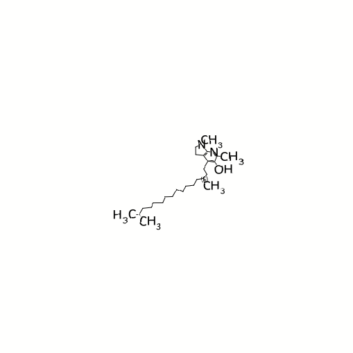 Cc1nc2c(c(CC[C@@H](C)CCCCCCCCCCCC(C)C)c1O)CCN2C